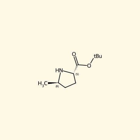 C[C@@H]1CC[C@@H](C(=O)OC(C)(C)C)N1